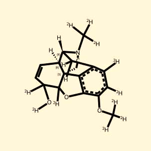 [2H]OC1([2H])C=C[C@H]2[C@@H]3N(C([2H])([2H])[2H])CC[C@@]24c2c(c(OC([2H])([2H])[2H])c([2H])c([2H])c2C3([2H])[2H])OC14[2H]